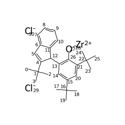 CC(C)(C)C1=Cc2ccccc2C1c1cc(C(C)(C)C)cc(C(C)(C)C)c1[O][Zr+2].[Cl-].[Cl-]